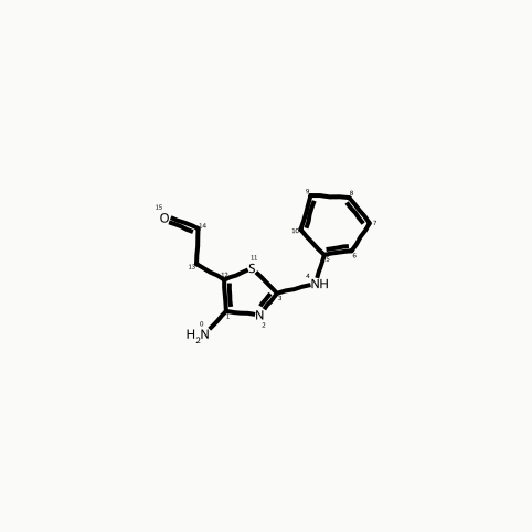 Nc1nc(Nc2ccccc2)sc1CC=O